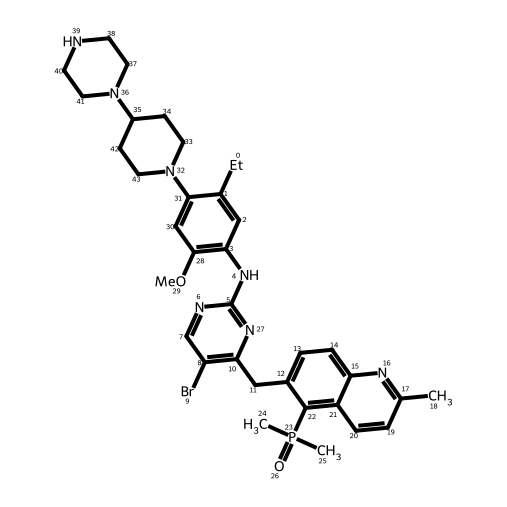 CCc1cc(Nc2ncc(Br)c(Cc3ccc4nc(C)ccc4c3P(C)(C)=O)n2)c(OC)cc1N1CCC(N2CCNCC2)CC1